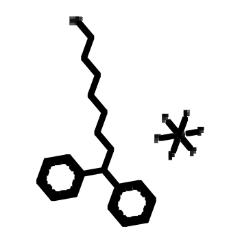 [F][Sb-]([F])([F])([F])([F])[F].[IH+]CCCCCCCC(c1ccccc1)c1ccccc1